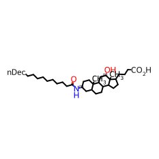 CCCCCCCCCCCCCCCCCCCC(=O)N[C@H]1CCC2(C)C(CCC3C2C[C@H](O)C2(C)C(CCCC(=O)O)CCC32)C1